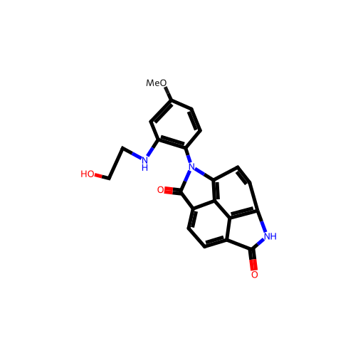 COc1ccc(N2C(=O)c3ccc4c5c(ccc2c35)NC4=O)c(NCCO)c1